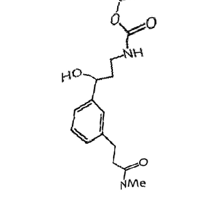 CNC(=O)CCc1cccc(C(O)CCNC(=O)OC(C)(C)C)c1